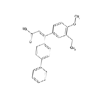 CCc1cc(C(=CC(=O)O)c2ccc(-c3ccccc3)cc2)ccc1OC